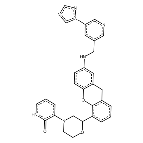 O=c1[nH]cccc1N1CCOC(c2cccc3c2Oc2ccc(NCc4cncc(-n5cncn5)c4)cc2C3)C1